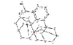 OB(O)c1cccc(C23CC4CC(CC(C4)C2)C3)c1C12CC3CC(CC(C3)C1)C2